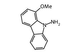 COc1cccc2c3ccccc3n(N)c12